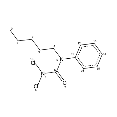 CCCCCN(C(=O)N(Cl)Cl)c1ccccc1